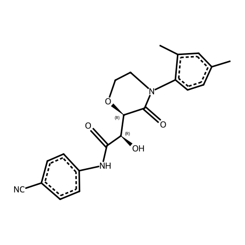 Cc1ccc(N2CCO[C@H]([C@@H](O)C(=O)Nc3ccc(C#N)cc3)C2=O)c(C)c1